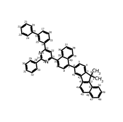 CC1(C)c2ccc(-c3ccc(-c4cc(-c5cccc(-c6ccccc6)c5)nc(-c5ccccc5)n4)c4ccccc34)cc2-c2ccc3ccccc3c21